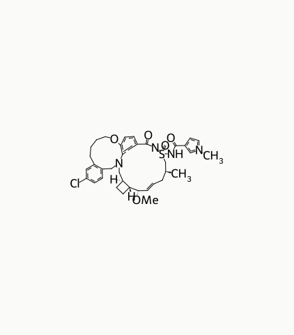 CO[C@H]1/C=C/C[C@H](C)CS(=O)(NC(=O)c2ccn(C)c2)=NC(=O)c2ccc3c(c2)N(Cc2ccc(Cl)cc2CCCCO3)C[C@@H]2CC[C@H]21